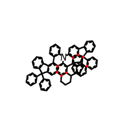 c1ccc(C2(c3ccccc3)c3ccccc3-c3ccc(N(c4ccccc4-c4cccc5c4-c4ccccc4C5(c4ccccc4)c4ccccc4)c4ccccc4-c4cccc5cccc(C6CCCCC6)c45)cc32)cc1